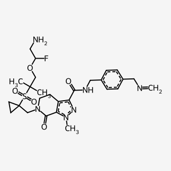 C=NCc1ccc(CNC(=O)c2nn(C)c3c2CCN(CC2(S(=O)(=O)C(C)(C)COC(F)CN)CC2)C3=O)cc1